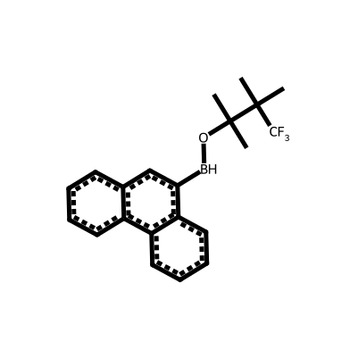 CC(C)(OBc1cc2ccccc2c2ccccc12)C(C)(C)C(F)(F)F